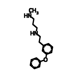 CNCCCNCCc1cccc(Oc2ccccc2)c1